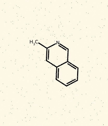 Cc1[c]c2ccccc2cn1